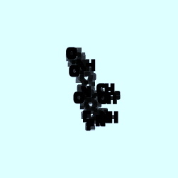 CC(O)c1cn(Cc2cccc(C(=O)NC3CCOCC3)c2)c(=O)c2ccc(-c3c[nH]nc3C(F)F)cc12